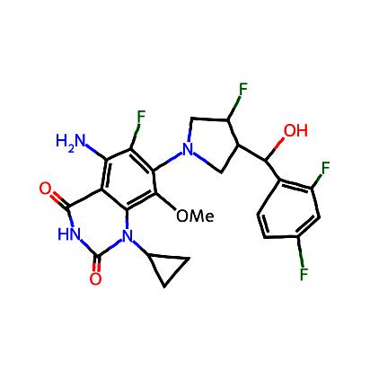 COc1c(N2CC(F)C(C(O)c3ccc(F)cc3F)C2)c(F)c(N)c2c(=O)[nH]c(=O)n(C3CC3)c12